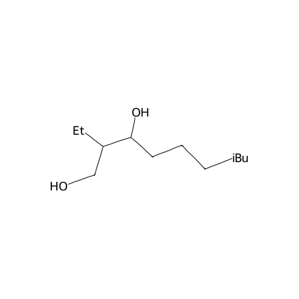 CCC(C)CCCC(O)C(CC)CO